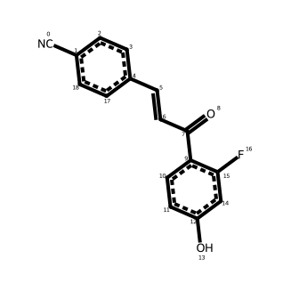 N#Cc1ccc(C=CC(=O)c2ccc(O)cc2F)cc1